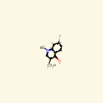 CCC(C)n1cc(C(=O)O)c(=O)c2ccc(F)cc21